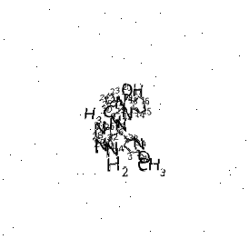 COc1ccc(-c2nn(C(C)C3=Nc4ccccc4C(O)N3C3CCC3)c3ncnc(N)c23)cn1